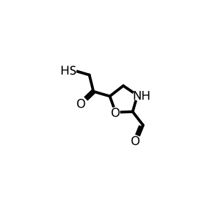 O=CC1NCC(C(=O)CS)O1